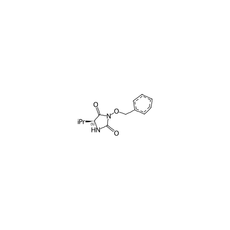 CC(C)[C@@H]1NC(=O)N(OCc2ccccc2)C1=O